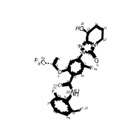 C[C@H](Oc1cc(-n2nc3n(c2=O)CCC[C@@H]3O)c(F)cc1C(=O)Nc1c(F)cccc1F)C(F)(F)F